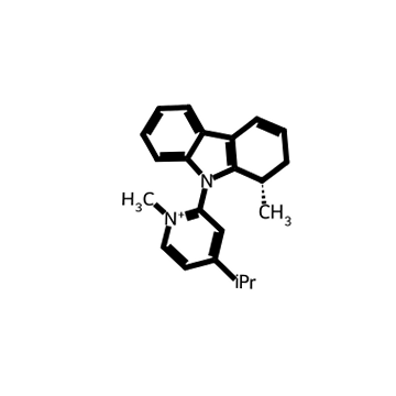 CC(C)c1cc[n+](C)c(-n2c3c(c4ccccc42)C=CC[C@@H]3C)c1